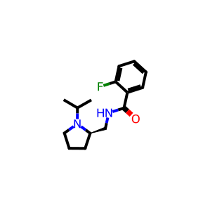 CC(C)N1CCC[C@@H]1CNC(=O)c1ccccc1F